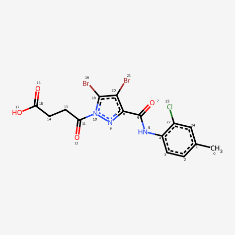 Cc1ccc(NC(=O)c2nn(C(=O)CCC(=O)O)c(Br)c2Br)c(Cl)c1